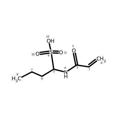 C=CC(=O)NC(CCC)S(=O)(=O)O